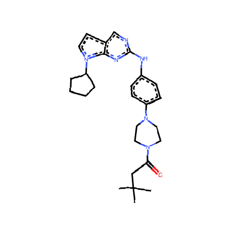 CC(C)(C)CC(=O)N1CCN(c2ccc(Nc3ncc4ccn(C5CCCC5)c4n3)cc2)CC1